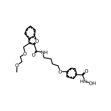 COCCOCc1c(C(=O)NCCCCOc2ccc(C(=O)NO)cc2)oc2ccccc12